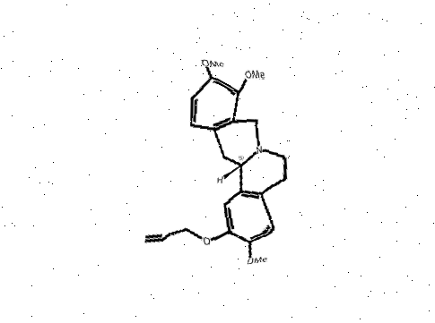 C=CCOc1cc2c(cc1OC)CCN1Cc3c(ccc(OC)c3OC)C[C@@H]21